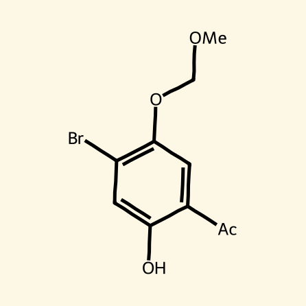 COCOc1cc(C(C)=O)c(O)cc1Br